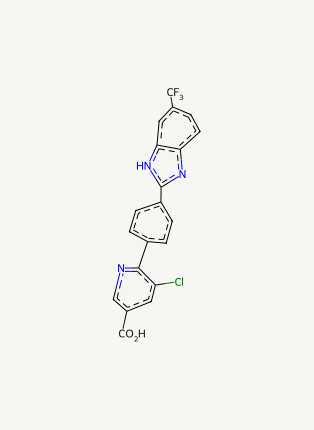 O=C(O)c1cnc(-c2ccc(-c3nc4ccc(C(F)(F)F)cc4[nH]3)cc2)c(Cl)c1